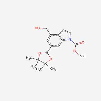 CCCCOC(=O)n1ccc2c(CO)cc(B3OC(C)(C)C(C)(C)O3)cc21